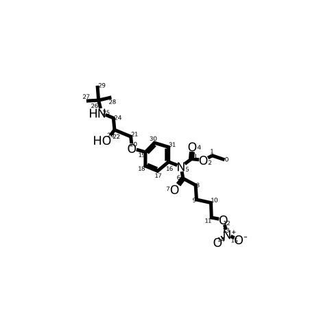 CCOC(=O)N(C(=O)CCCCO[N+](=O)[O-])c1ccc(OCC(O)CNC(C)(C)C)cc1